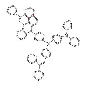 C(=C(c1ccccc1)c1ccccc1)c1ccc(N(c2ccc(-c3c4ccccc4c(C=C(c4ccccc4)c4ccccc4)c4ccccc34)cc2)c2ccc(N(c3ccccc3)c3ccccc3)cc2)cc1